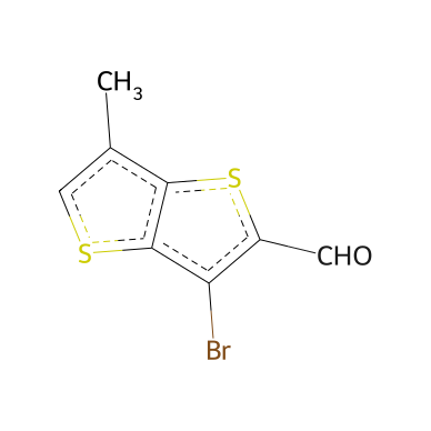 Cc1csc2c(Br)c(C=O)sc12